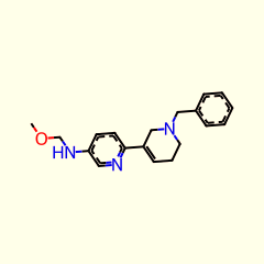 COCNc1ccc(C2=CCCN(Cc3ccccc3)C2)nc1